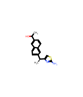 CC(O)c1ccc2cc([C@H](C)c3csc(N)n3)ccc2c1